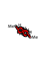 COCCOCCOCCN1CCNC(=O)[C@H]2CCC=C(C(=O)NCCN(CCN3CCNC(=O)C4=CCC[C@@H](C(=O)NCCN(CCOCCOCCOC)CCNC(=O)[C@H]5CCC=C(C(=O)NC(CCCCN)C3)C5O)C4O)CCNC(=O)C3=CCC[C@@H](C(=O)NCC1)C3O)C2O